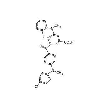 CN(c1ccc(Cl)cc1)c1ccc(C(=O)c2cc(C(=O)O)cc(N(C)c3ccccc3F)c2)cc1